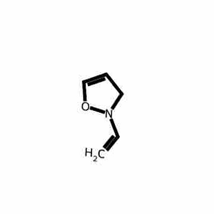 C=CN1CC=CO1